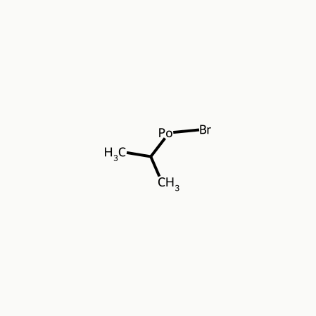 C[CH](C)[Po][Br]